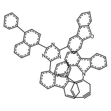 C1#CCC(n2c3ccccc3c3cccc(-n4c5c(c6cccc(-c7nc(-c8ccc9oc%10ccccc%10c9c8)nc(-c8ccc(-c9ccccc9)c9ccccc89)n7)c64)C=CCC5)c32)=C(c2ccccc2)C=C1